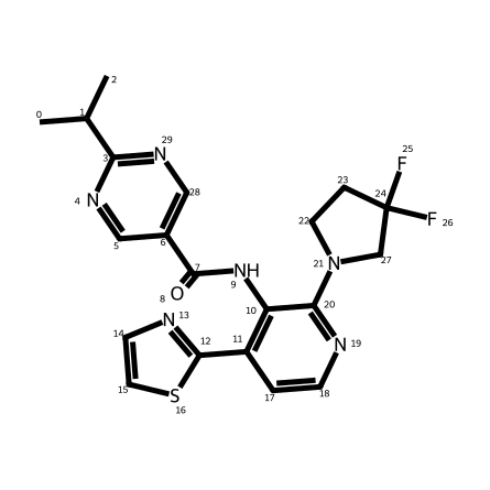 CC(C)c1ncc(C(=O)Nc2c(-c3nccs3)ccnc2N2CCC(F)(F)C2)cn1